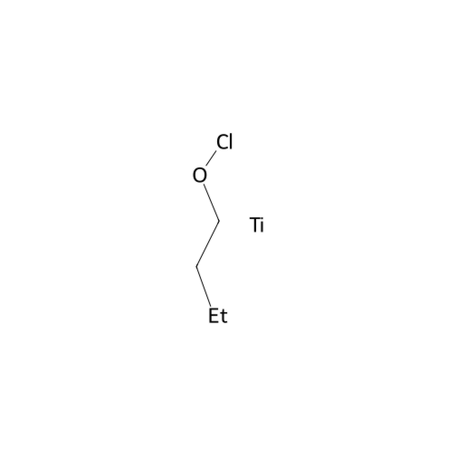 CCCCOCl.[Ti]